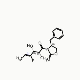 C/C=C(\F)[C@H](O)[C@@H](C)C(=O)N1C(=O)OC[C@@H]1Cc1ccccc1